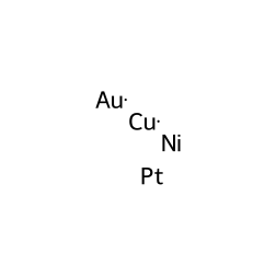 [Au].[Cu].[Ni].[Pt]